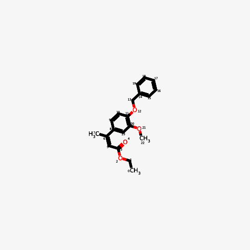 CCOC(=O)/C=C(/C)c1ccc(OCc2ccccc2)c(OC)c1